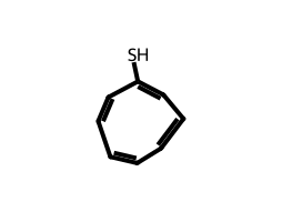 SC1=CC=CC=CC=C1